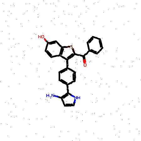 Nc1cc[nH]c1-c1ccc(-c2c(C(=O)c3ccccc3)sc3cc(O)ccc23)cc1